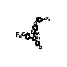 O=C(Nc1ccc(Oc2ccc(C(F)(F)F)cc2)cc1)N1NC(c2ccc(Cl)cc2)=CC1c1ccc(C(F)(F)F)cc1